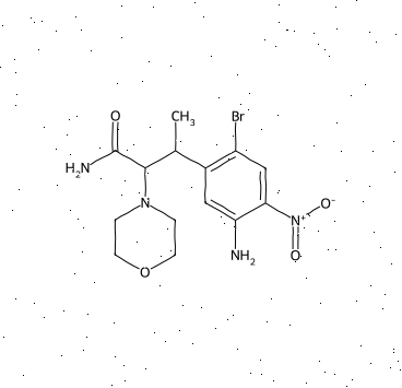 CC(c1cc(N)c([N+](=O)[O-])cc1Br)C(C(N)=O)N1CCOCC1